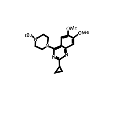 COc1cc2nc(C3CC3)nc(N3CCN(C(C)(C)C)CC3)c2cc1OC